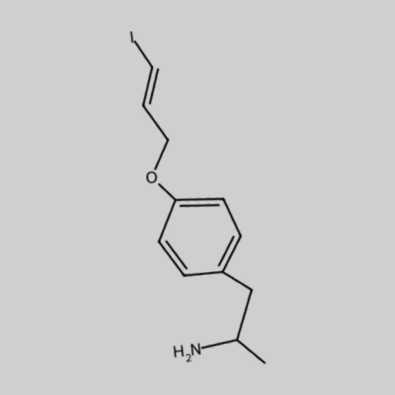 CC(N)Cc1ccc(OC/C=C/I)cc1